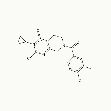 O=C(c1ccc(Cl)c(Cl)c1)N1CCc2c(nc(Cl)n(C3CC3)c2=O)C1